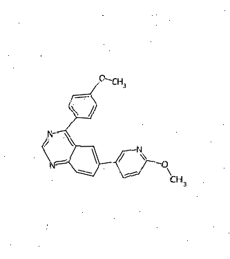 COc1ccc(-c2ncnc3ccc(-c4ccc(OC)nc4)cc23)cc1